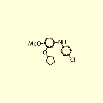 COc1ccc(Nc2ccc(Cl)cc2)cc1OC1CCCC1